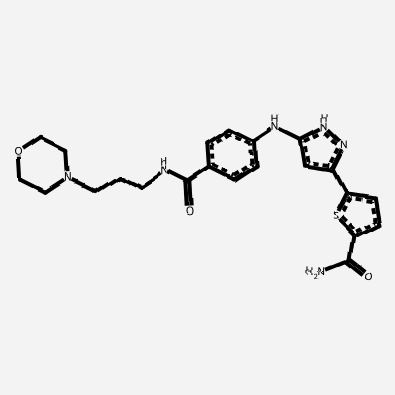 NC(=O)c1ccc(-c2cc(Nc3ccc(C(=O)NCCCN4CCOCC4)cc3)[nH]n2)s1